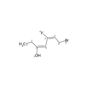 CC/C(O)=C\C(F)=C/CBr